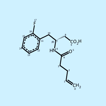 C=CCCC(=O)N[C@@H](CC(=O)O)Cc1ccccc1F